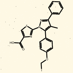 Cc1c(-c2ccccc2)nn(-c2nc(C(=O)O)cs2)c1-c1ccc(OCI)cc1